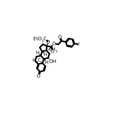 CCOC(=O)O[C@]1(C(=O)OCC(=O)c2ccc(F)cc2)CC[C@H]2[C@@H]3CCC4=CC(=O)C=C[C@]4(C)[C@H]3[C@@H](O)C[C@@]21C